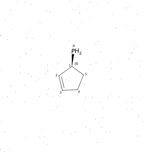 P[C@@H]1C=CCC1